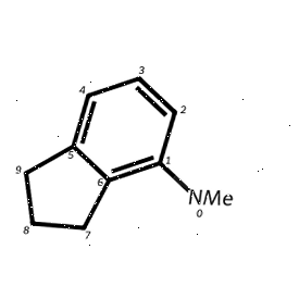 CNc1cccc2c1CCC2